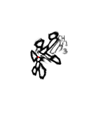 CC1(C)c2ccccc2-c2c1c1c3ccccc3n(-c3ccc4c5ccccc5c5ccccc5c4c3)c1c1c2c2ccccc2n1-c1ccccc1